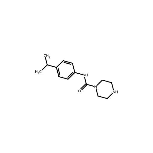 CC(C)c1ccc(NC(=O)N2CCNCC2)cc1